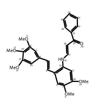 COc1cc(C=Cc2cc(OC)c(OC)c(OC)c2)c(NC=CC(=O)c2ccccc2)cc1OC